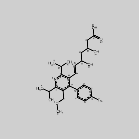 COCc1c(C(C)C)nc(C(C)C)c(C=CC(O)CC(O)CC(=O)O)c1-c1ccc(F)cc1